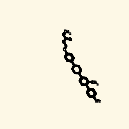 C=CC(=O)OCOc1ccc(C2CCC(c3ccc(-c4ccc(CCC)cc4)c(C)c3)CC2)cc1